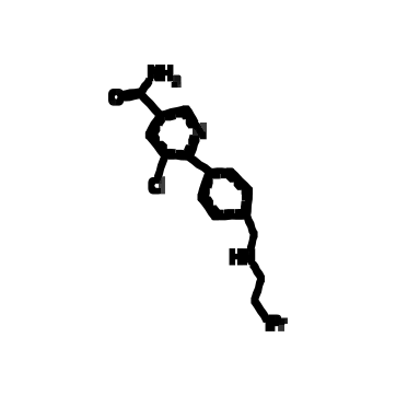 CC(C)CCNCc1ccc(-c2ncc(C(N)=O)cc2Cl)cc1